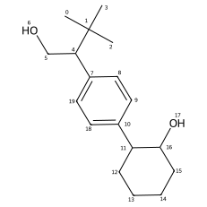 CC(C)(C)C(CO)c1ccc(C2CCCCC2O)cc1